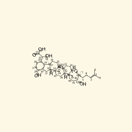 CC(C)=CCC[C@]1(C)O[C@@H]2CC[C@@]3(C)[C@@H]4CC[C@]5(C)c6c(C(O)C(=O)O)ccc(O)c6C[C@H]5[C@@]4(C)CC[C@@H]3[C@@]2(C)CC[C@H]1O